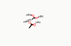 CCCCOC(C)OCCCC.CCCCOC(CCC)OCCCC